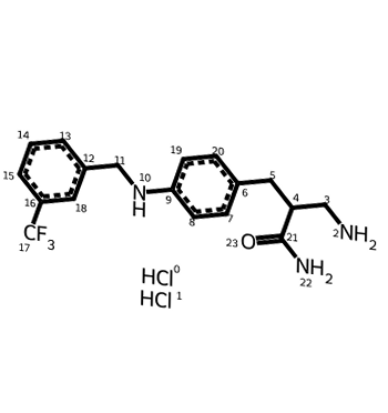 Cl.Cl.NCC(Cc1ccc(NCc2cccc(C(F)(F)F)c2)cc1)C(N)=O